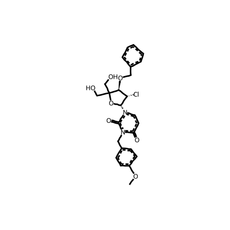 COc1ccc(Cn2c(=O)ccn([C@@H]3OC(CO)(CO)[C@@H](OCc4ccccc4)[C@@H]3Cl)c2=O)cc1